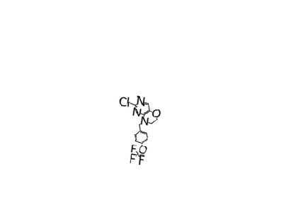 FC(F)(F)Oc1ccc(CN2CCOc3cnc(Cl)nc32)cc1